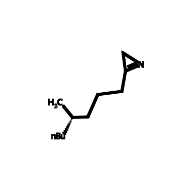 CCCC[C@H](C)CCCC1=NC1